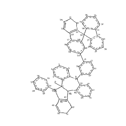 CC12c3ccccc3N(c3cccc(-c4ccc5c(c4)C4(C6=C5C=CCC6)c5ccccc5-c5ccccc54)c3)c3ccccc3C1C1=C(C=CCC1)N2c1ccccc1